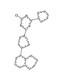 Clc1nc(-c2ccccc2)nc(-c2ccc(-c3cccc4ccccc34)cc2)n1